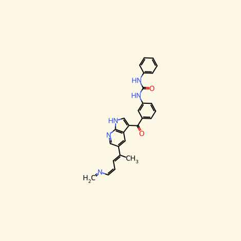 C=N/C=C\C=C(/C)c1cnc2[nH]cc(C(=O)c3cccc(NC(=O)Nc4ccccc4)c3)c2c1